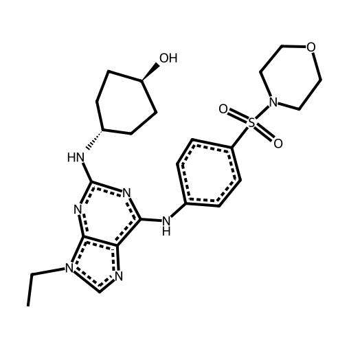 CCn1cnc2c(Nc3ccc(S(=O)(=O)N4CCOCC4)cc3)nc(N[C@H]3CC[C@H](O)CC3)nc21